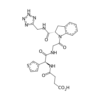 O=C(O)CCC(=O)N[C@H](C(=O)NCC(=O)N1c2ccccc2C[C@H]1C(=O)NCc1nn[nH]n1)c1ccsc1